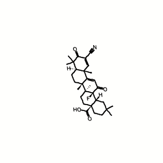 CC1(C)CC[C@]2(C(=O)O)CC[C@@]3(C)[C@]4(C)CC[C@H]5C(C)(C)C(=O)C(C#N)=C[C@]5(C)C4=CC(=O)[C@]3(F)[C@@H]2C1